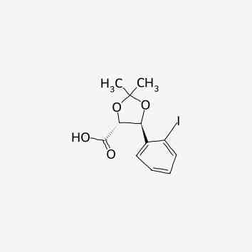 CC1(C)O[C@@H](C(=O)O)[C@H](c2ccccc2I)O1